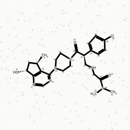 C[C@@H]1C[C@@H](O)c2ncnc(N3CCN(C(=O)[C@H](CNCC(=O)N(C)C)c4ccc(Cl)cc4)CC3)c21